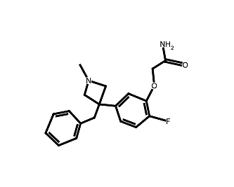 CN1CC(Cc2ccccc2)(c2ccc(F)c(OCC(N)=O)c2)C1